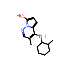 Cc1cnn2c(O)ccc2c1NC1CCCCC1C